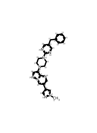 Cn1cc(-c2cnc3c(N4CCN(c5ncc(Cc6ccccc6)cn5)CC4)cnn3c2)cn1